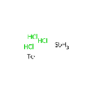 Cl.Cl.Cl.[SbH3].[Tc]